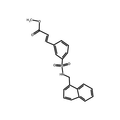 COC(=O)C=Cc1cccc(S(=O)(=O)NCc2cccc3ccccc23)c1